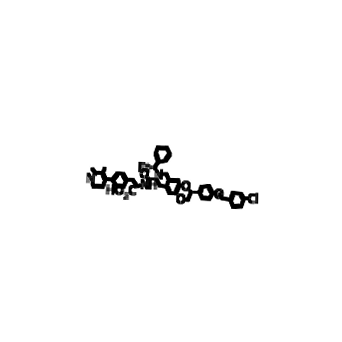 CC[C@@H](c1ccccc1)N1Cc2cc3c(cc2C[C@H]1C(=O)NC(Cc1ccc(-c2ccnc(C)c2C)cc1)C(=O)O)OC[C@H](c1ccc(OCc2ccc(Cl)cc2)cc1)O3